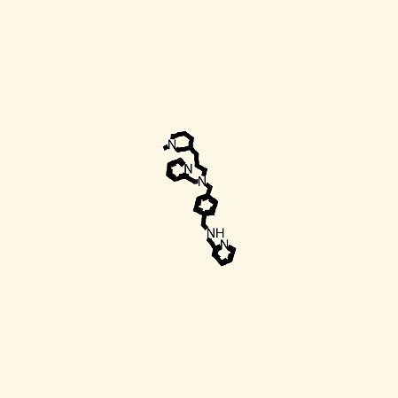 CN1CCCC(CCCN(Cc2ccc(CNCc3ccccn3)cc2)Cc2ccccn2)C1